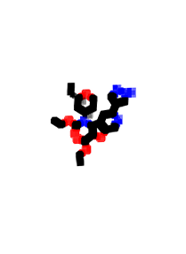 CCOC(=O)c1oc2cnc(-c3cn[nH]c3)cc2c1N(C(=O)OCC)[C@H]1CCO[C@@H](CC)C1